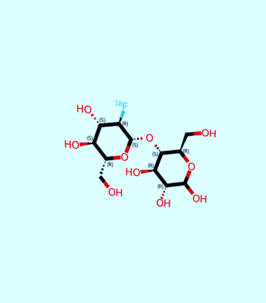 OC[C@H]1O[C@@H](O[C@H]2[C@H](O)[C@@H](O)C(O)O[C@@H]2CO)[C@H]([18F])[C@@H](O)[C@@H]1O